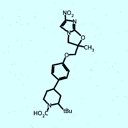 CC1(COc2ccc(C3CCN(C(=O)O)C(C(C)(C)C)C3)cc2)Cn2cc([N+](=O)[O-])nc2O1